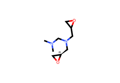 CN(C)CN(CC1CO1)C[C@@H]1CO1